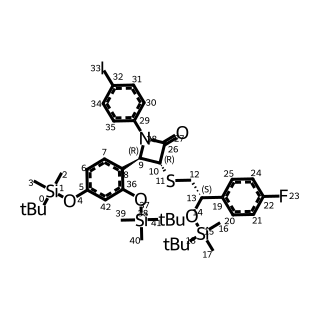 CC(C)(C)[Si](C)(C)Oc1ccc([C@@H]2[C@@H](SC[C@@H](O[Si](C)(C)C(C)(C)C)c3ccc(F)cc3)C(=O)N2c2ccc(I)cc2)c(O[Si](C)(C)C(C)(C)C)c1